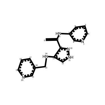 C=C(Nc1cccnc1)c1n[nH]cc1NCc1cccnc1